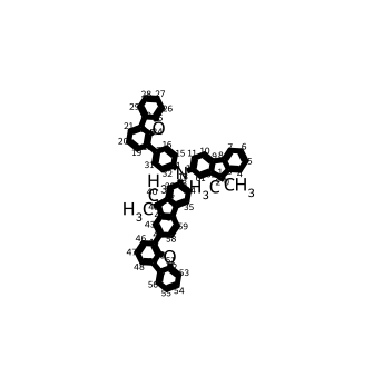 CC1(C)c2ccccc2-c2ccc(N(c3ccc(-c4cccc5c4oc4ccccc45)cc3)c3ccc4c(c3)C(C)(C)c3cc(-c5cccc6c5oc5ccccc56)ccc3-4)cc21